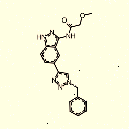 COCC(=O)Nc1n[nH]c2ccc(-c3cn(Cc4ccccc4)nn3)cc12